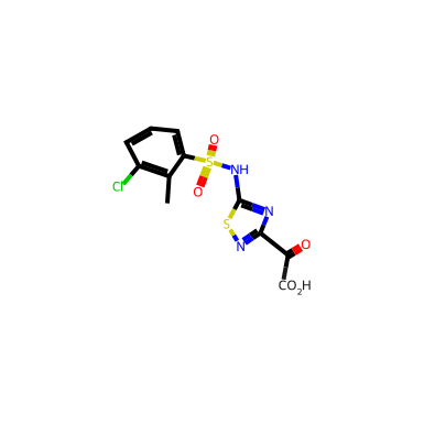 Cc1c(Cl)cccc1S(=O)(=O)Nc1nc(C(=O)C(=O)O)ns1